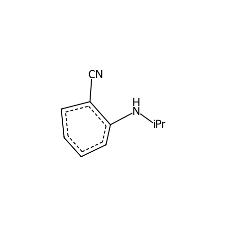 CC(C)Nc1ccccc1C#N